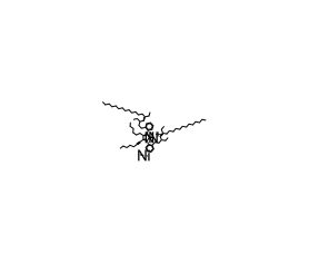 CCCCCC#CC1=C(c2ccccc2CCC(C=C(CC)CCCCCCCCCCCCC)CC)[N+](=[N-])C(c2ccccc2CCC(C=C(CC)CCCCCCCCCCCCC)CC)=C1CCCCCC.[CH3][Ni][CH3]